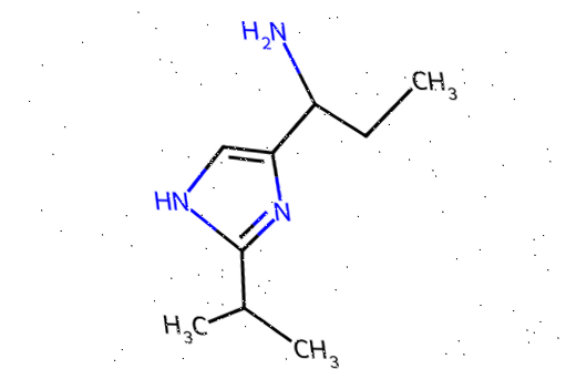 CCC(N)c1c[nH]c(C(C)C)n1